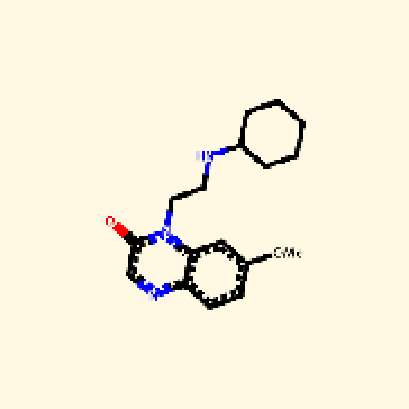 COc1ccc2ncc(=O)n(CCNC3CCCCC3)c2c1